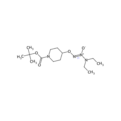 CCN(CC)/[N+]([O-])=N/OC1CCN(C(=O)OC(C)(C)C)CC1